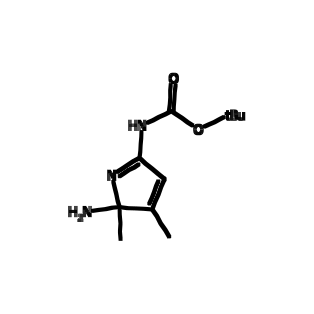 CC1=CC(NC(=O)OC(C)(C)C)=NC1(C)N